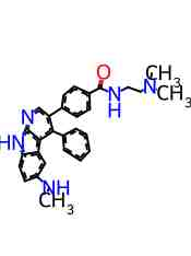 CNc1ccc2[nH]c3ncc(-c4ccc(C(=O)NCCN(C)C)cc4)c(-c4ccccc4)c3c2c1